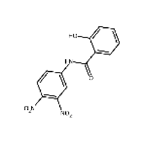 O=C(Nc1ccc([N+](=O)[O-])c([N+](=O)[O-])c1)c1ccccc1O